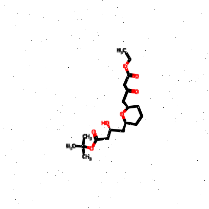 CCOC(=O)CC(=O)C[C@H]1CCC[C@@H](C[C@@H](O)CC(=O)OC(C)(C)C)O1